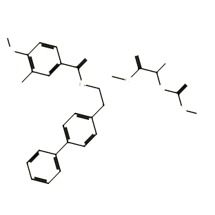 CC(C)Oc1ccc(C(=O)N[C@H](CNC(=O)C(C)NC(=O)OC(C)(C)C)Cc2ccc(-c3ccccc3)cc2)cc1Cl